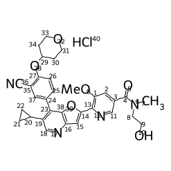 COc1cc(C(=O)N(C)CCO)cnc1-c1cc2ncc(C3CC3)c(-c3ccc(OC4CCOCC4)c(C#N)c3)c2o1.Cl